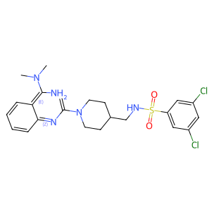 C=C(/N=C1/C=CC=C/C1=C(/N)N(C)C)N1CCC(CNS(=O)(=O)c2cc(Cl)cc(Cl)c2)CC1